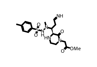 COC(=O)CN1CCN[C@@H](C(CC=N)N(C)NS(=O)(=O)c2ccc(C)cc2)C1=O